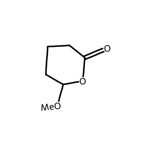 COC1CCCC(=O)O1